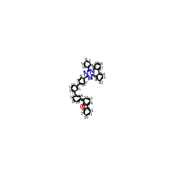 c1ccc(-c2nc(-c3ccc(-c4cccc(-c5cccc(-c6cccc7c6oc6ccccc67)c5)c4)cc3)nc(-c3ccccc3-c3ccccc3)n2)cc1